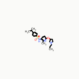 CCCN1CCC(Oc2ccc(NS(=O)(=O)c3ccc(C(C)C)cc3)c(C)n2)C1